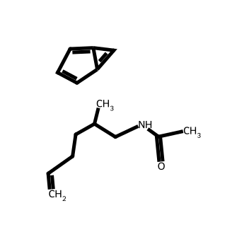 C=CCCC(C)CNC(C)=O.c1cc2cc-2c1